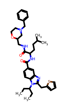 CCC(CC)n1c(Cc2cccs2)nc2cc(C(=O)NC(CCC(C)C)C(=O)NCC3CN(Cc4ccccc4)CCO3)ccc21